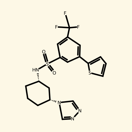 O=S(=O)(N[C@H]1CCC[C@@H](n2cnnc2)C1)c1cc(-c2cccs2)cc(C(F)(F)F)c1